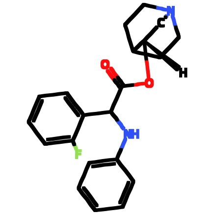 O=C(O[C@H]1CN2CCC1CC2)C(Nc1ccccc1)c1ccccc1F